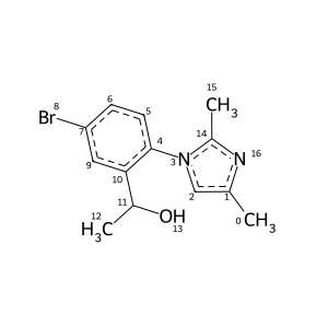 Cc1cn(-c2ccc(Br)cc2C(C)O)c(C)n1